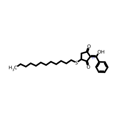 CCCCCCCCCCCCSC1CC(=O)/C(=C(\O)c2ccccc2)C1=O